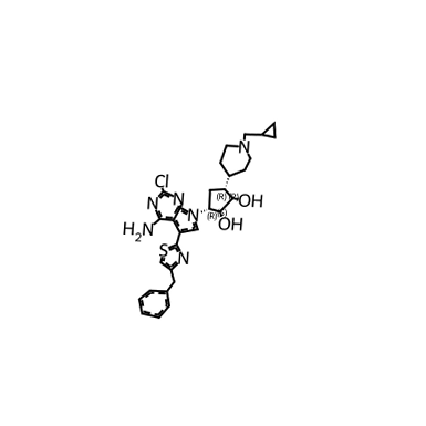 Nc1nc(Cl)nc2c1c(-c1nc(Cc3ccccc3)cs1)cn2[C@@H]1C[C@H](C2CCN(CC3CC3)CC2)[C@@H](O)[C@H]1O